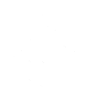 CC(C)n1cnc2cc(-c3ccc4c(c3)N([C@H]3C[C@@H](N5CC6CC6C5)C3)C(=O)C4(C)C)nc(Nc3ccncc3F)c21